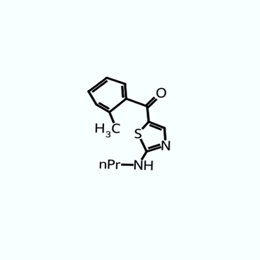 [CH2]CCNc1ncc(C(=O)c2ccccc2C)s1